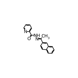 CC(=NNC(=O)c1ccccn1)c1ccc2ccccc2c1